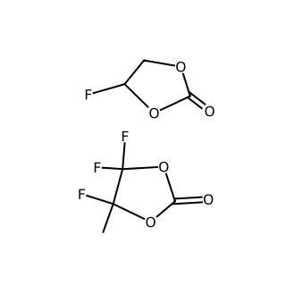 CC1(F)OC(=O)OC1(F)F.O=C1OCC(F)O1